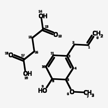 C=CCC1=CC(OC)C(O)C=C1.O=C(O)CCC(=O)O